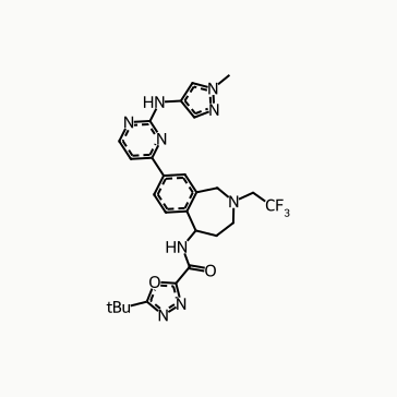 Cn1cc(Nc2nccc(-c3ccc4c(c3)CN(CC(F)(F)F)CCC4NC(=O)c3nnc(C(C)(C)C)o3)n2)cn1